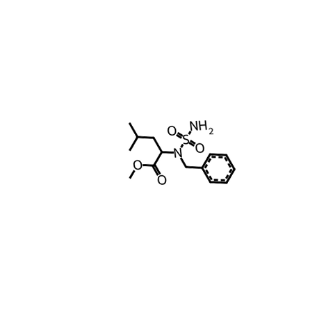 COC(=O)C(CC(C)C)N(Cc1ccccc1)S(N)(=O)=O